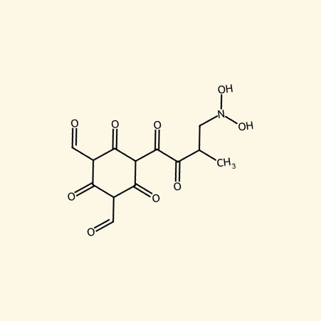 CC(CN(O)O)C(=O)C(=O)C1C(=O)C(C=O)C(=O)C(C=O)C1=O